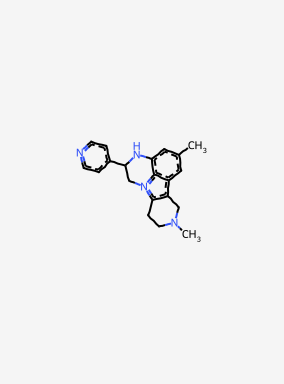 Cc1cc2c3c(c1)c1c(n3CC(c3ccncc3)N2)CCN(C)C1